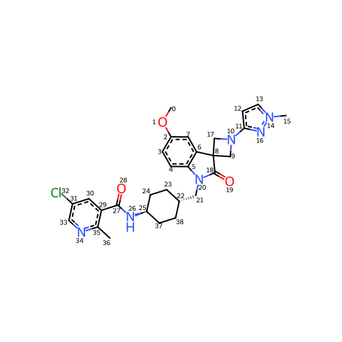 COc1ccc2c(c1)C1(CN(c3ccn(C)n3)C1)C(=O)N2C[C@H]1CC[C@H](NC(=O)c2cc(Cl)cnc2C)CC1